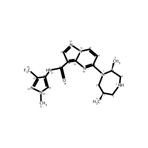 C[C@@H]1CNC[C@H](C)N(c2ccn3ncc(C(=O)Nc4cn(C)nc4C(F)(F)F)c3n2)C1